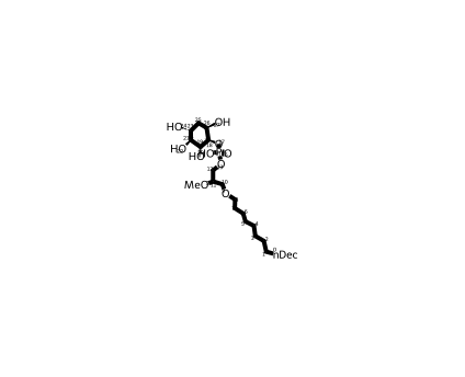 CCCCCCCCCCCCCCCCCCOCC(COP(=O)(O)O[C@H]1[C@H](O)[C@@H](O)[C@H](O)C[C@H]1O)OC